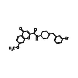 COc1ccc2c(=O)cc(C(=O)NC3CCN(Cc4cccc(Br)c4)CC3)oc2c1